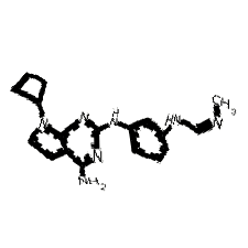 C/N=C\Nc1cccc(Nc2nc(N)c3ccn(C4CCC4)c3n2)c1